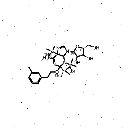 Cc1cccc(CCOC2([Si](C)(C)C(C)(C)C)N=C(N)C3([Si](C)(C)C(C)(C)C)N=CN([C@@H]4O[C@H](CO)C(O)C4O)C3N2[Si](C)(C)C(C)(C)C)c1